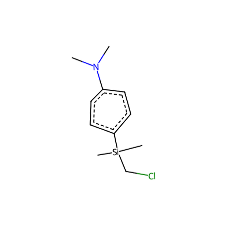 CN(C)c1ccc([Si](C)(C)CCl)cc1